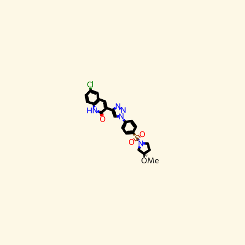 CO[C@@H]1CCN(S(=O)(=O)c2ccc(-n3cc(-c4cc5cc(Cl)ccc5[nH]c4=O)nn3)cc2)C1